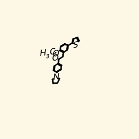 COc1ccc(-c2cccs2)cc1CC(=O)c1ccc(N2CCCC2)cc1